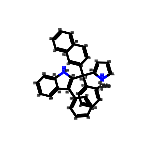 COc1ccccc1[C@@](c1ccc2ccccc2c1)(c1ccc[nH]1)c1[nH]c2ccccc2c1-c1ccccc1